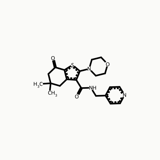 CC1(C)CC(=O)c2sc(N3CCOCC3)c(C(=O)NCc3ccncc3)c2C1